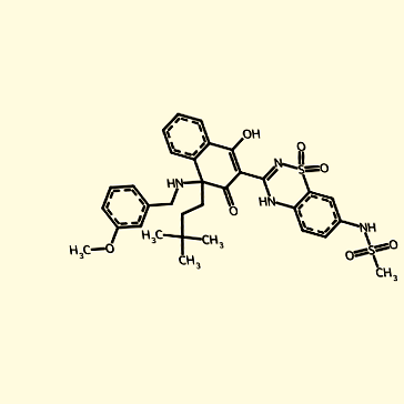 COc1cccc(CNC2(CCC(C)(C)C)C(=O)C(C3=NS(=O)(=O)c4cc(NS(C)(=O)=O)ccc4N3)=C(O)c3ccccc32)c1